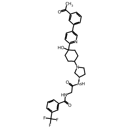 CC(=O)c1cccc(-c2ccc(C3(O)CCC(N4CC[C@@H]([AsH]C(=O)CNC(=O)c5cccc(C(F)(F)F)c5)C4)CC3)nc2)c1